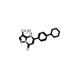 CCOC(=O)c1cnn2c(=O)cc(-c3ccc(C4CCCCC4)cc3)[nH]c12